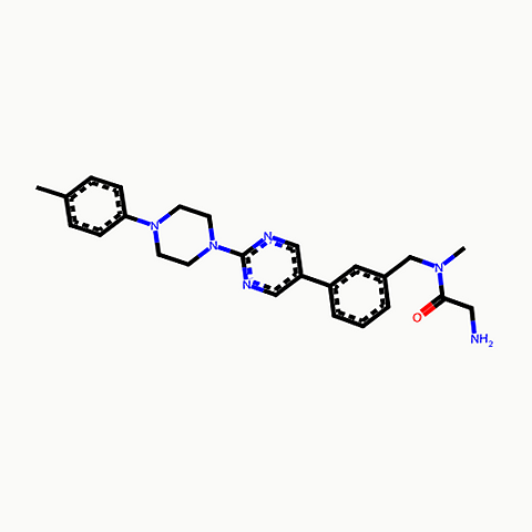 Cc1ccc(N2CCN(c3ncc(-c4cccc(CN(C)C(=O)CN)c4)cn3)CC2)cc1